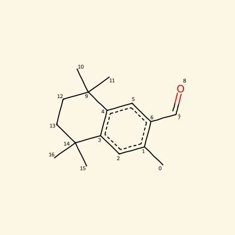 Cc1cc2c(cc1[C]=O)C(C)(C)CCC2(C)C